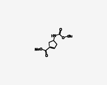 COC(=O)C1=CCC(NC(=O)OC(C)(C)C)C1